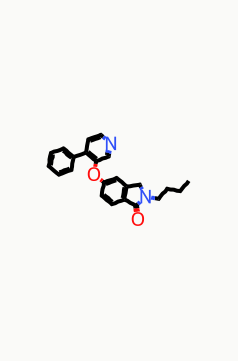 CCCCN1Cc2cc(Oc3cnccc3-c3ccccc3)ccc2C1=O